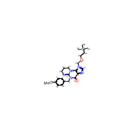 COc1ccc(CN2C(=O)c3ncn(COCC[Si](C)(C)C)c3N3CCCN=C23)cc1